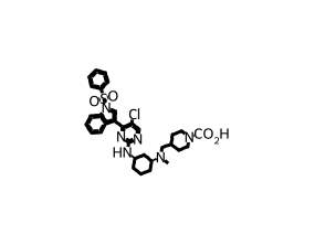 CN(CC1CCN(C(=O)O)CC1)[C@H]1CCC[C@@H](Nc2ncc(Cl)c(-c3cn(S(=O)(=O)c4ccccc4)c4ccccc34)n2)C1